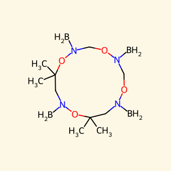 BN1CON(B)CC(C)(C)ON(B)CC(C)(C)ON(B)CO1